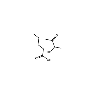 CC(=O)C(C)O.CCCCC(=O)O